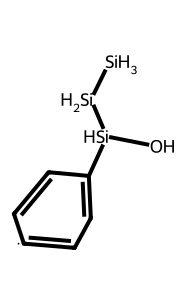 O[SiH]([SiH2][SiH3])c1cc[c]cc1